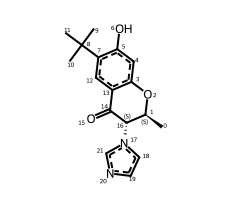 C[C@@H]1Oc2cc(O)c(C(C)(C)C)cc2C(=O)[C@H]1n1ccnc1